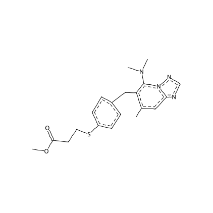 COC(=O)CCSc1ccc(Cc2c(C)cc3ncnn3c2N(C)C)cc1